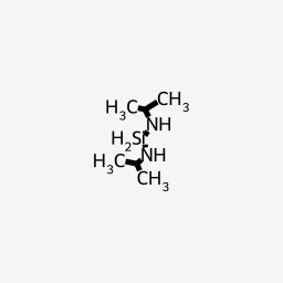 CC(C)N[SiH2]NC(C)C